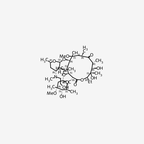 CC[C@H]1OC(=O)[C@H](C)[C@@H](O[C@H]2C[C@@](C)(OC)[C@@H](O)[C@H](C)O2)[C@H](C)[C@@H](O[C@@H]2O[C@H](C)C[C@@H](N(C)CCO)[C@@H]2N(C)C)[C@@](C)(OC)C[C@@H](C)C(=O)[C@H](C)[C@@H](O)[C@]1(C)O